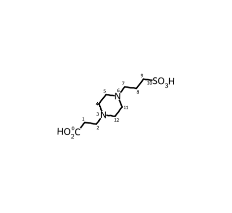 O=C(O)CCN1CCN(CCCS(=O)(=O)O)CC1